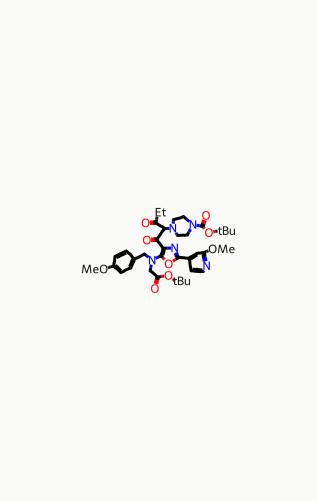 CCC(=O)C(C(=O)c1nc(-c2ccnc(OC)c2)oc1N(CC(=O)OC(C)(C)C)Cc1ccc(OC)cc1)N1CCN(C(=O)OC(C)(C)C)CC1